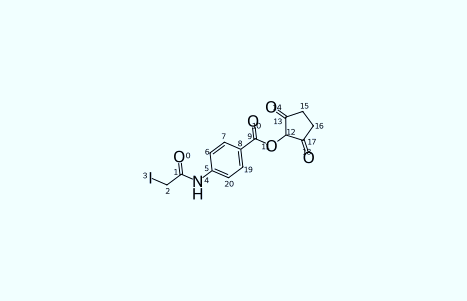 O=C(CI)Nc1ccc(C(=O)OC2C(=O)CCC2=O)cc1